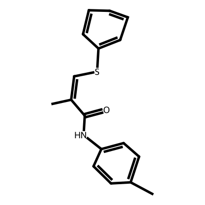 CC(=CSc1ccccc1)C(=O)Nc1ccc(C)cc1